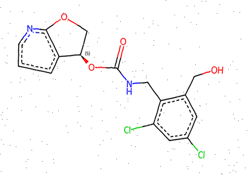 O=C(NCc1c(Cl)cc(Cl)cc1CO)O[C@@H]1COc2ncccc21